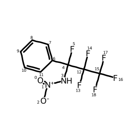 O=[N+]([O-])NC(F)(c1ccccc1)C(F)(F)C(F)(F)F